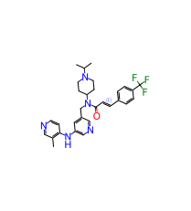 Cc1cnccc1Nc1cncc(CN(C(=O)/C=C/c2ccc(C(F)(F)F)cc2)C2CCN(C(C)C)CC2)c1